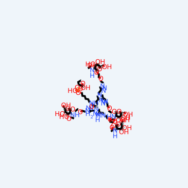 CC(=O)N[C@H]1[C@H](OCCOCCN/C=C(/CN(Cc2cn(CCOCCO[C@@H]3O[C@H](CO)[C@H](O)[C@H](O)[C@H]3NC(C)=O)nn2)[C@@H](CCCCN(Cc2cn(CCOCCO[C@@H]3O[C@H](CO)[C@H](O)[C@H](O)[C@H]3NC(C)=O)nn2)Cc2cn(CCOCCO[C@@H]3O[C@H](CO)[C@H](O)[C@H](O)[C@H]3NC(C)O)nn2)C(=O)NCCCCCCOP(=O)(O)OC2CCO[C@@H]2O)NN)O[C@H](CO)[C@H](O)[C@@H]1O